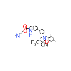 Cc1ccc(Cn2c(-c3cccc(-c4ccc5c(c4)NC(C(=O)OCCCN(C)C)C5)c3)cc(C(F)(F)F)c(C#N)c2=O)c(C)c1